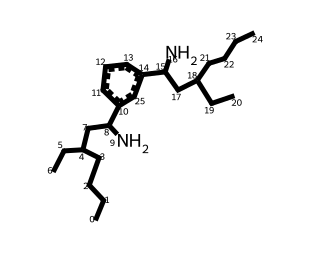 CCCCC(CC)CC(N)c1cccc(C(N)CC(CC)CCCC)c1